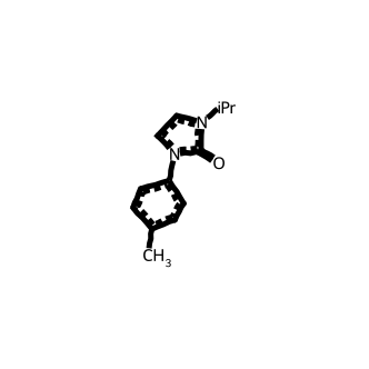 Cc1ccc(-n2ccn(C(C)C)c2=O)cc1